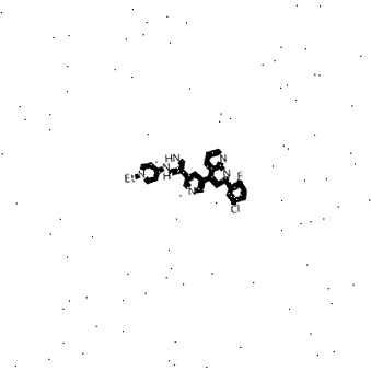 CCN1CCC(N/C=C(\C=N)c2cncc(-c3cc(-c4cc(Cl)ccc4F)nc4ncccc34)c2)CC1